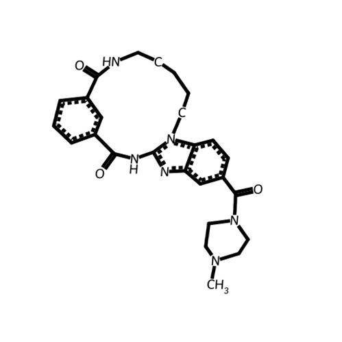 CN1CCN(C(=O)c2ccc3c(c2)nc2n3CCCCCNC(=O)c3cccc(c3)C(=O)N2)CC1